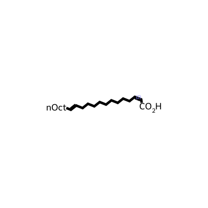 CCCCCCCCC=CCCCCCCCCC/C=C\C(=O)O